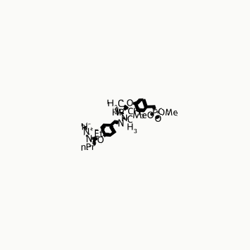 CCCC(CC)(N=[N+]=[N-])Oc1ccc(/C=N/N(C)[PH](=S)C(C)(C)Oc2ccc(CP(=O)(OC)OC)cc2)cc1